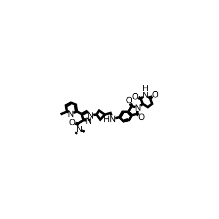 Cc1cccc(-c2cn(C3CC(CNc4ccc5c(c4)C(=O)N(C4CCC(=O)NC4=O)C5=O)C3)nc2C(=O)N(C)C)n1